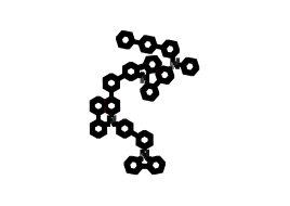 c1ccc(-c2ccc(-c3cccc(N(c4ccccc4)c4ccc(-c5ccccc5-n5c6ccccc6c6ccc(-c7cccc(-c8ccc(N(c9ccc(-c%10cccc(-n%11c%12ccccc%12c%12ccccc%12%11)c%10)cc9)c9ccccc9-c9ccccc9)cc8)c7)cc65)cc4)c3)cc2)cc1